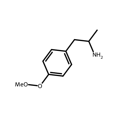 COOc1ccc(CC(C)N)cc1